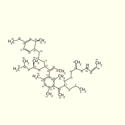 C=C(CCCC(CCC)C(=C)c1c(C)cc(C)c(/C(=C\C)C(CCCC2C=CC(CC)=C[C@H]2C)C[C@H](C)CC(C)C)c1C)CN/C=C\C